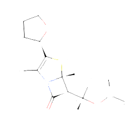 CC[C@@](O[SiH](C)C)([C@H]1C(=O)N2C(C(=O)O)=C([C@H]3CCCO3)S[C@H]12)C(C)(C)C